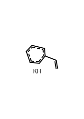 C=Cc1ccccc1.[KH]